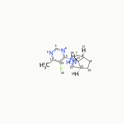 Cc1ncnc(N2C[C@H]3CC[C@@H](C2)[C@@H]3N)c1F